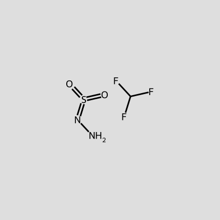 FC(F)F.NN=S(=O)=O